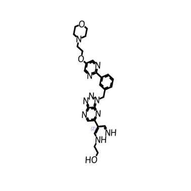 N=C/C(=C\NCCO)c1cnc2nnn(Cc3cccc(-c4ncc(OCCN5CCOCC5)cn4)c3)c2n1